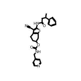 CC(CC(=O)Nc1sc2c(c1C#N)CCC(OC(=O)NCc1ccncc1)C2)c1ccccc1